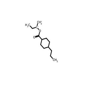 [CH2+][C-](CC)OC(=O)C1CCC(CCC)CC1